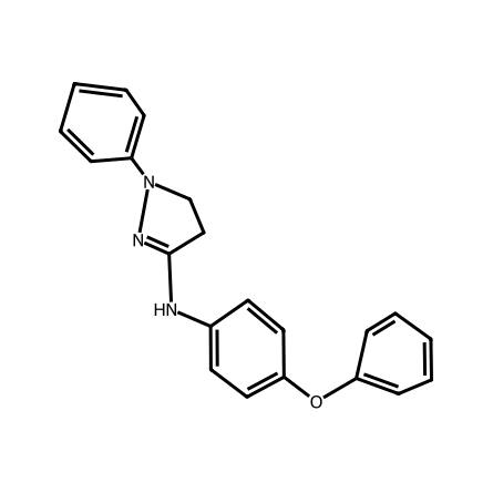 c1ccc(Oc2ccc(NC3=NN(c4ccccc4)CC3)cc2)cc1